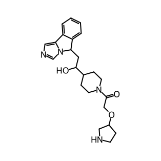 O=C(COC1CCNC1)N1CCC(C(O)CC2c3ccccc3-c3cncn32)CC1